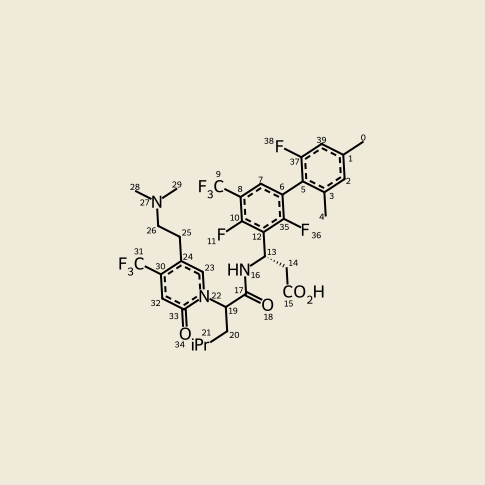 Cc1cc(C)c(-c2cc(C(F)(F)F)c(F)c([C@H](CC(=O)O)NC(=O)C(CC(C)C)n3cc(CCN(C)C)c(C(F)(F)F)cc3=O)c2F)c(F)c1